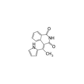 CC(=C1C(=O)NC(=O)c2ccccc21)c1ccc[nH]1